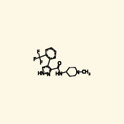 CN1CCC(NC(=O)c2n[nH]cc2-c2ccccc2C(F)(F)F)CC1